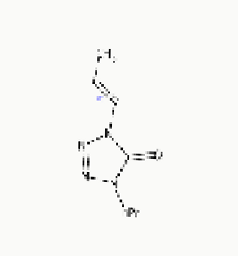 C/C=C/n1nnn(CCC)c1=O